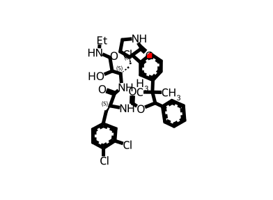 CCNC(=O)C(O)[C@H](C[C@@H]1CCNC1=O)NC(=O)[C@H](Cc1ccc(Cl)c(Cl)c1)NC(=O)OC(c1ccccc1)C(C)(C)c1cccc(Cl)c1